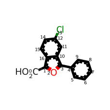 O=C(O)c1oc(-c2ccccc2)c2cc(Cl)ccc12